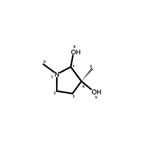 CN1CC[C@](C)(O)C1O